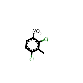 Cc1c(Cl)ccc([N+](=O)[O-])c1Cl